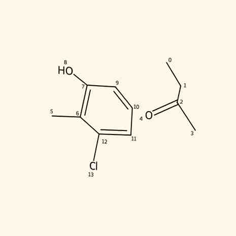 CCC(C)=O.Cc1c(O)cccc1Cl